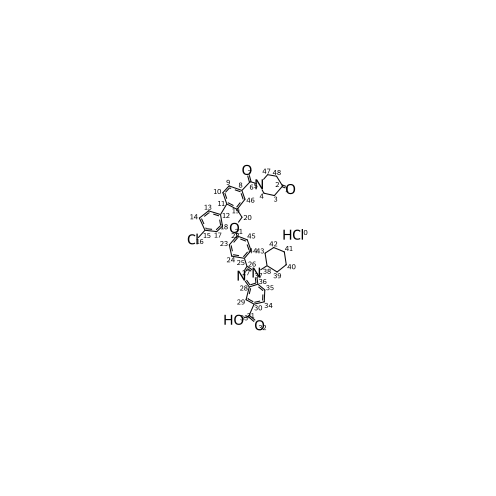 Cl.O=C1CCN(C(=O)c2ccc(-c3ccc(Cl)cc3)c(COc3ccc(-c4nc5cc(C(=O)O)ccc5n4C4CCCCC4)cc3)c2)CC1